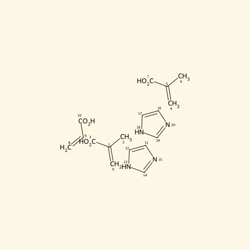 C=C(C)C(=O)O.C=C(C)C(=O)O.C=CC(=O)O.c1c[nH]cn1.c1c[nH]cn1